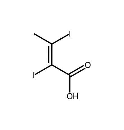 CC(I)=C(I)C(=O)O